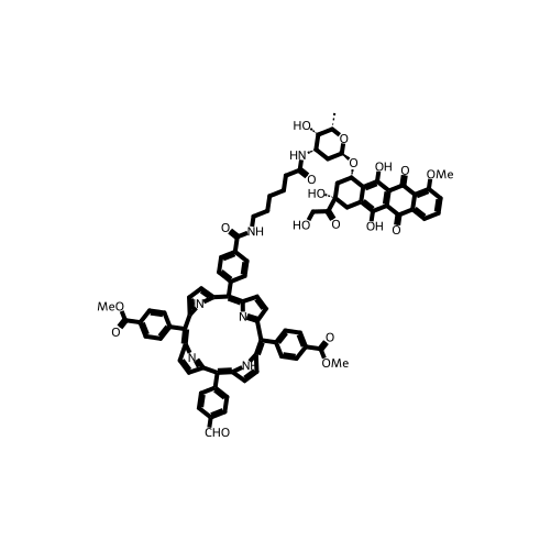 COC(=O)c1ccc(-c2c3nc(c(-c4ccc(C(=O)NCCCCCC(=O)N[C@H]5C[C@H](O[C@H]6C[C@](O)(C(=O)CO)Cc7c(O)c8c(c(O)c76)C(=O)c6c(OC)cccc6C8=O)O[C@@H](C)[C@H]5O)cc4)c4ccc([nH]4)c(-c4ccc(C(=O)OC)cc4)c4nc(c(-c5ccc(C=O)cc5)c5ccc2[nH]5)C=C4)C=C3)cc1